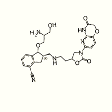 N#Cc1cccc2c1C[C@H](CNCCC1CN(c3ccc4c(n3)NC(=O)CO4)C(=O)O1)C2OCC(N)CO